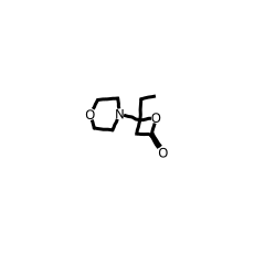 CCC1(N2CCOCC2)CC(=O)O1